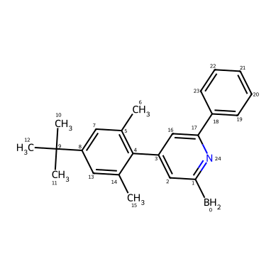 Bc1cc(-c2c(C)cc(C(C)(C)C)cc2C)cc(-c2ccccc2)n1